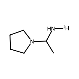 [2H]NC(C)N1CCCC1